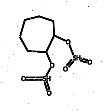 O=[SH](=O)OC1CCCCCC1O[SH](=O)=O